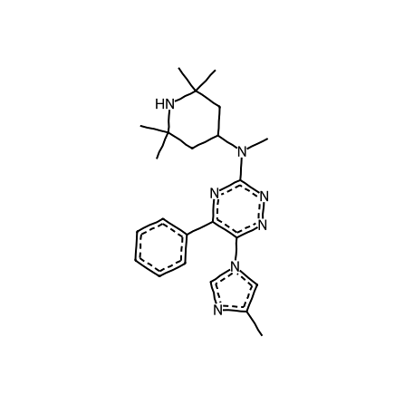 Cc1cn(-c2nnc(N(C)C3CC(C)(C)NC(C)(C)C3)nc2-c2ccccc2)cn1